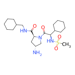 CS(=O)(=O)N[C@@H](C(=O)N1C[C@H](N)C[C@H]1C(=O)NCC1CCCCC1)C1CCCCC1